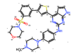 CN1CCN(c2ccc(Nc3nc(-c4cc(-c5cccc(S(=O)(=O)N6CCOCC6)c5)cs4)c4cc[nH]c4n3)cc2)CC1